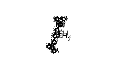 CC1(C)c2cc(-c3ccc4c(c3)c3cccc5c6ccccc6n4c53)ccc2-c2ccc(-c3cnc4c5ccccc5c5ccccc5c4n3)cc21